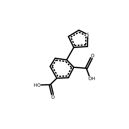 O=C(O)c1ccc(-c2ccsc2)c(C(=O)O)c1